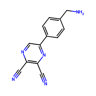 N#Cc1ncc(-c2ccc(CN)cc2)nc1C#N